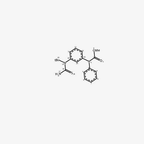 COC(=O)N(c1ccccc1)c1cccc(N(C(N)=S)C(C)(C)C)c1